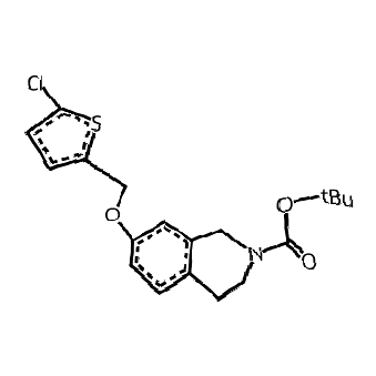 CC(C)(C)OC(=O)N1CCc2ccc(OCc3ccc(Cl)s3)cc2C1